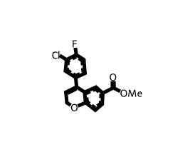 COC(=O)c1ccc2c(c1)C(c1ccc(F)c(Cl)c1)=CCO2